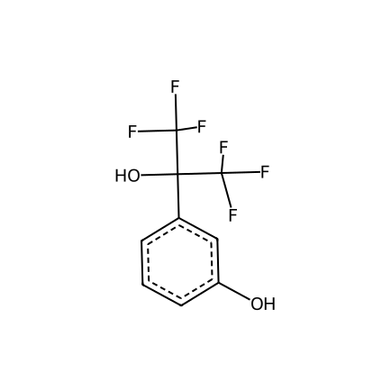 Oc1cccc(C(O)(C(F)(F)F)C(F)(F)F)c1